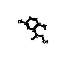 C[C](CO)c1cc(Cl)ccc1Br